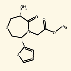 CC(C)(C)OC(=O)CN1C(=O)[C@@H](N)CSC[C@H]1c1cccs1